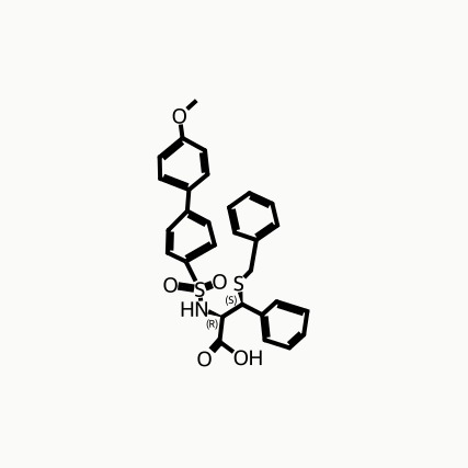 COc1ccc(-c2ccc(S(=O)(=O)N[C@H](C(=O)O)[C@@H](SCc3ccccc3)c3ccccc3)cc2)cc1